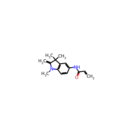 C=CC(=O)Nc1ccc2c(c1)C(C)(C)C(=C)N2C